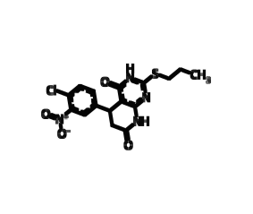 CCCSc1nc2c(c(=O)[nH]1)C(c1ccc(Cl)c([N+](=O)[O-])c1)CC(=O)N2